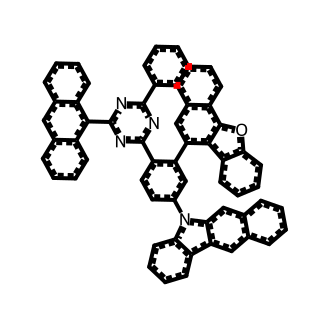 c1ccc(-c2nc(-c3ccc(-n4c5ccccc5c5cc6ccccc6cc54)cc3-c3cc4ccccc4c4oc5ccccc5c34)nc(-c3c4ccccc4cc4ccccc34)n2)cc1